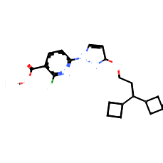 CC(C)(C)OC(=O)c1ccc(N2C=CC(OCCC(C3CCC3)C3CCC3)N2)nc1Cl